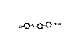 CCCCCCC1CCC(c2ccc(CCc3ccc(Cl)cc3)cc2)CC1